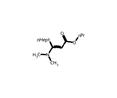 CCCCCCC/C(=C\C(=O)OCCC)N(C)C